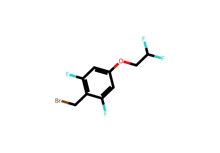 Fc1cc(OCC(F)F)cc(F)c1CBr